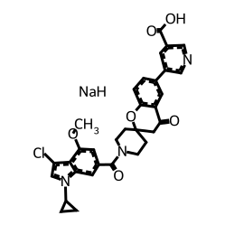 COc1cc(C(=O)N2CCC3(CC2)CC(=O)c2cc(-c4cncc(C(=O)O)c4)ccc2O3)cc2c1c(Cl)cn2C1CC1.[NaH]